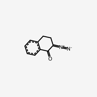 [N-]=[N+]=C1CCc2ccccc2C1=O